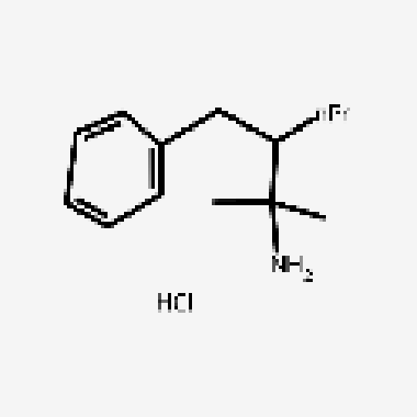 CCCC(Cc1ccccc1)C(C)(C)N.Cl